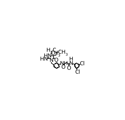 CC(C)CC1(C)NC(=N)N(Cc2cccc(NC(=O)CC(=O)Nc3cc(Cl)cc(Cl)c3)c2)C1=O